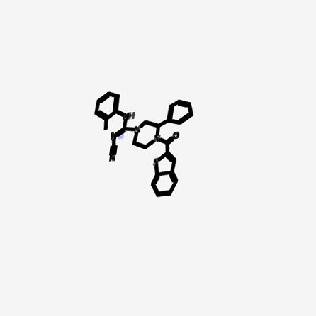 Cc1ccccc1N/C(=N/C#N)N1CCN(C(=O)c2cc3ccccc3s2)C(c2ccccc2)C1